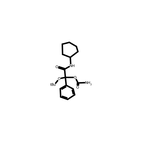 CC(C)(C)OC(OC(N)=O)(C(=O)NC1CCCCC1)c1ccccc1